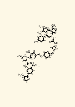 C=C(N[C@@H](C)c1ccc(-c2ocnc2C)cc1)[C@@H]1C[C@@H](O)CN1C(=O)[C@@H](NC(=O)COc1ccc(O[C@H]2C[C@@H](NC(=O)C[C@@H]3N=C(c4ccc(Cl)cc4)c4c(sc(C)c4C)-n4c(C)nnc43)C2)nc1)C(C)(C)C